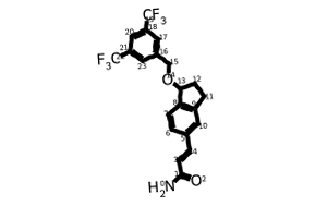 NC(=O)/C=C/c1ccc2c(c1)CCC2OCc1cc(C(F)(F)F)cc(C(F)(F)F)c1